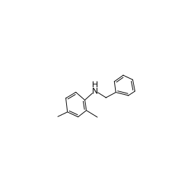 Cc1ccc(NCc2ccccc2)c(C)c1